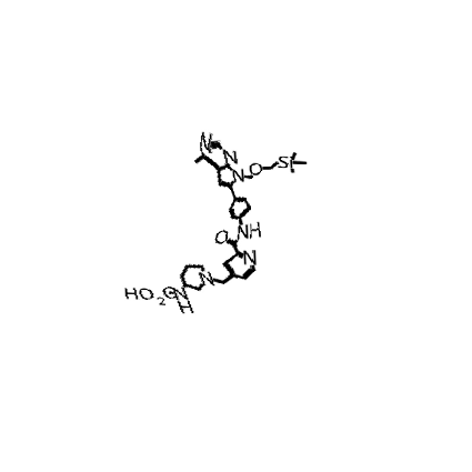 Cc1ncnc2c1cc(-c1ccc(NC(=O)c3cc(CN4CCCC(NC(=O)O)C4)ccn3)cc1)n2COCC[Si](C)(C)C